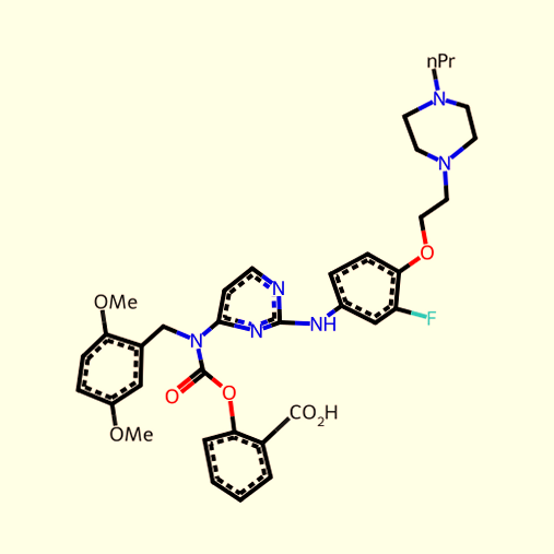 CCCN1CCN(CCOc2ccc(Nc3nccc(N(Cc4cc(OC)ccc4OC)C(=O)Oc4ccccc4C(=O)O)n3)cc2F)CC1